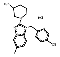 Cl.N#Cc1ccc(Cn2c(N3CCCC(N)C3)nc3cc(F)ccc32)nc1